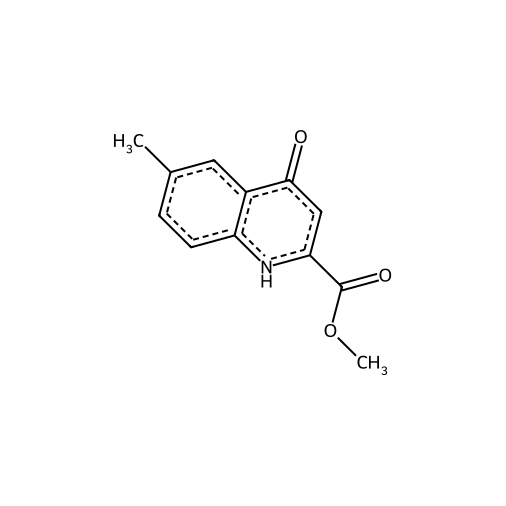 COC(=O)c1cc(=O)c2cc(C)ccc2[nH]1